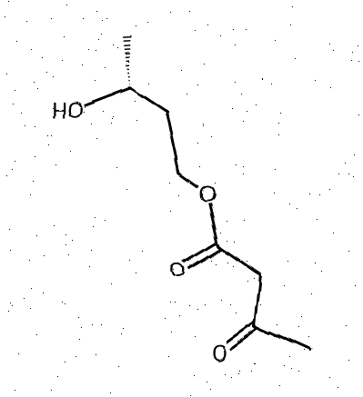 CC(=O)CC(=O)OCC[C@@H](C)O